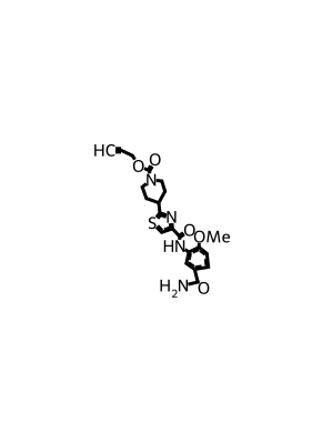 C#CCOC(=O)N1CCC(c2nc(C(=O)Nc3cc(C(N)=O)ccc3OC)cs2)CC1